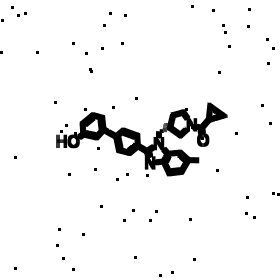 Cc1ccc2nc(-c3ccc(-c4cccc(O)c4)cc3)n(C[C@@H]3CCN(C(=O)C4CC4)C3)c2c1